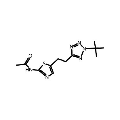 CC(=O)Nc1ncc(CCc2nnn(C(C)(C)C)n2)s1